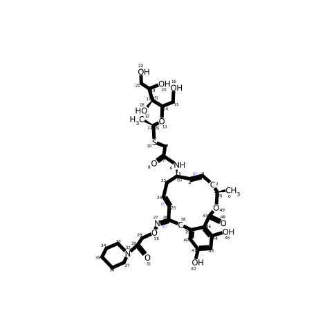 C[C@@H]1C/C=C/[C@@H](NC(=O)CS[C@@H](C)OC(CO)[C@@H](O)C(O)CO)C/C=C/C(=N/OCC(=O)N2CCCCC2)Cc2cc(O)cc(O)c2C(=O)O1